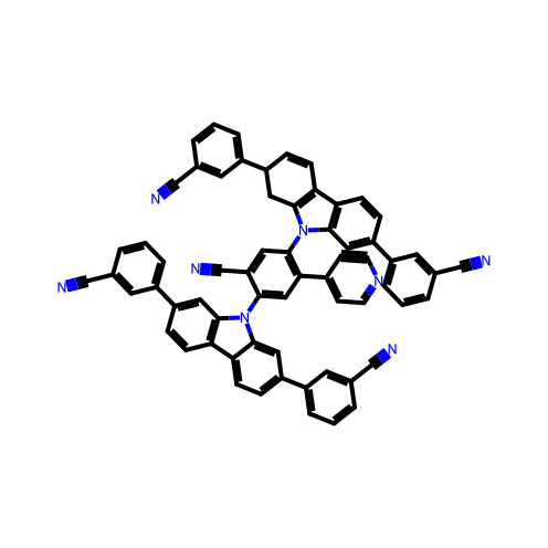 N#Cc1cccc(-c2ccc3c4c(n(-c5cc(C#N)c(-n6c7cc(-c8cccc(C#N)c8)ccc7c7ccc(-c8cccc(C#N)c8)cc76)cc5-c5c#cncc5)c3c2)CC(c2cccc(C#N)c2)C=C4)c1